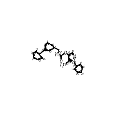 O=C(NCc1cccc(-c2ccccc2)c1)Oc1cnn(-c2ccccc2)c1C(F)(F)F